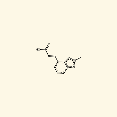 Cn1cc2c(C=CC(=O)O)cccc2n1